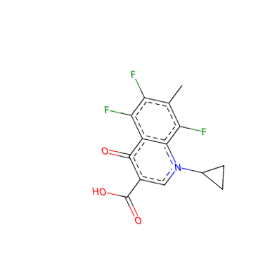 Cc1c(F)c(F)c2c(=O)c(C(=O)O)cn(C3CC3)c2c1F